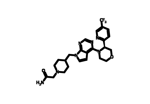 NC(=O)CN1CCC(Cn2ccc3c(N4CCOC[C@@H]4c4ccc(C(F)(F)F)cn4)ncnc32)CC1